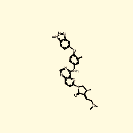 Cc1cc(Nc2ncnc3ccc(N4C[C@@H](C)/C(=C\CN(C)C)C4=O)nc23)ccc1Oc1ccc2c(c1)nnn2C